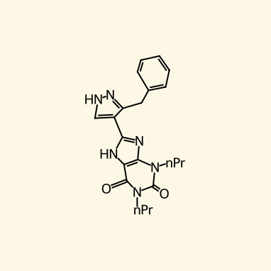 CCCn1c(=O)c2[nH]c(-c3c[nH]nc3Cc3ccccc3)nc2n(CCC)c1=O